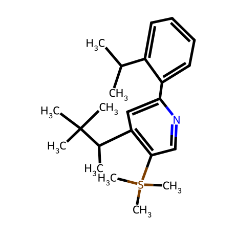 CC(C)c1ccccc1-c1cc(C(C)C(C)(C)C)c(S(C)(C)C)cn1